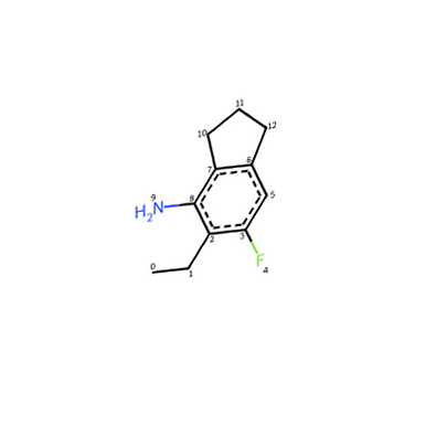 CCc1c(F)cc2c(c1N)CCC2